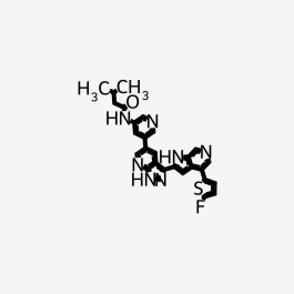 CC(C)CC(=O)Nc1cncc(-c2cnc3[nH]nc(-c4cc5c(-c6ccc(F)s6)cncc5[nH]4)c3c2)c1